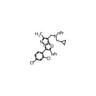 CCCc1oc2c(CN(CCC)CC3CC3)c(C)nn2c1-c1ccc(Cl)cc1Cl